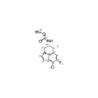 C[C@@H]1c2cc(F)c(Cl)c3ccn(c23)C[C@@H]1NC(=O)OC(C)(C)C